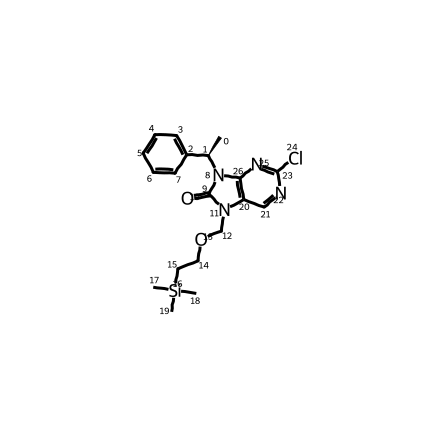 C[C@H](c1ccccc1)n1c(=O)n(COCC[Si](C)(C)C)c2cnc(Cl)nc21